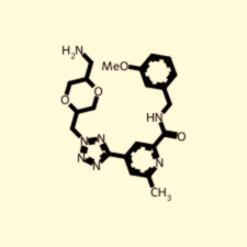 COc1cccc(CNC(=O)c2cc(-c3nnn(CC4COC(CN)CO4)n3)cc(C)n2)c1